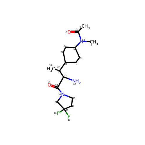 CC(=O)N(C)C1CCC([C@H](C)C(N)C(=O)N2CCC(F)(F)C2)CC1